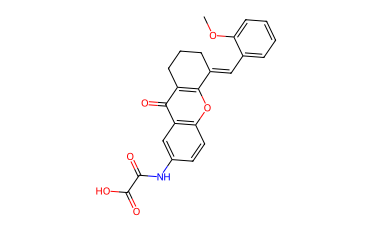 COc1ccccc1C=C1CCCc2c1oc1ccc(NC(=O)C(=O)O)cc1c2=O